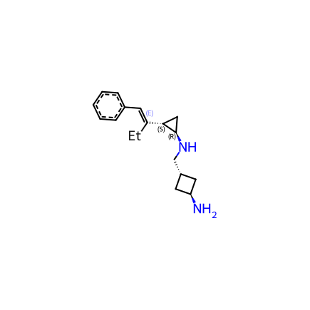 CC/C(=C\c1ccccc1)[C@@H]1C[C@H]1NC[C@H]1C[C@H](N)C1